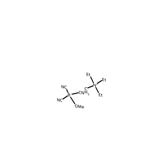 CC[N+](C)(CC)CC.CO[B-](C#N)(C#N)C#N